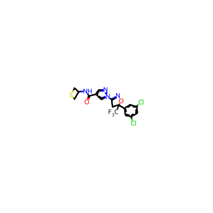 O=C(NC1CSC1)c1cnn(C2=NOC(c3cc(Cl)cc(Cl)c3)(C(F)(F)F)C2)c1